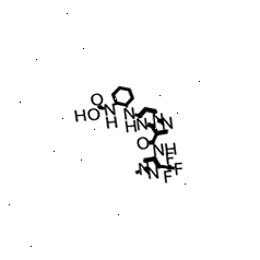 Cn1cc(NC(=O)c2cnn3ccc(N[C@@H]4CCCC[C@@H]4NC(=O)O)nc23)c(C(F)(F)F)n1